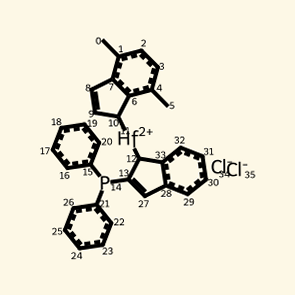 Cc1ccc(C)c2c1C=C[CH]2[Hf+2][CH]1C(P(c2ccccc2)c2ccccc2)=Cc2ccccc21.[Cl-].[Cl-]